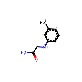 Cc1cccc(NCC(N)=O)c1